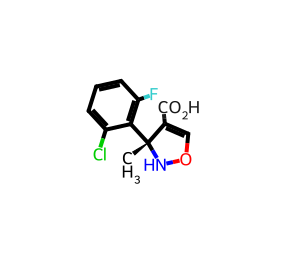 C[C@]1(c2c(F)cccc2Cl)NOC=C1C(=O)O